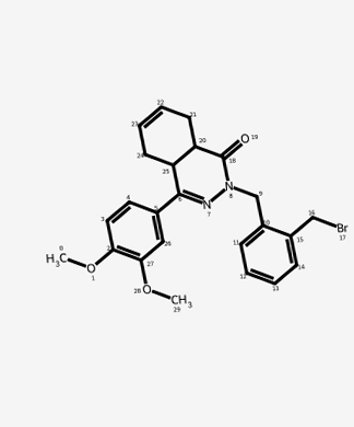 COc1ccc(C2=NN(Cc3ccccc3CBr)C(=O)C3CC=CCC23)cc1OC